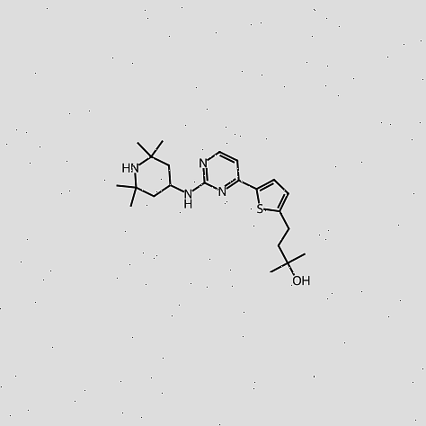 CC(C)(O)CCc1ccc(-c2ccnc(NC3CC(C)(C)NC(C)(C)C3)n2)s1